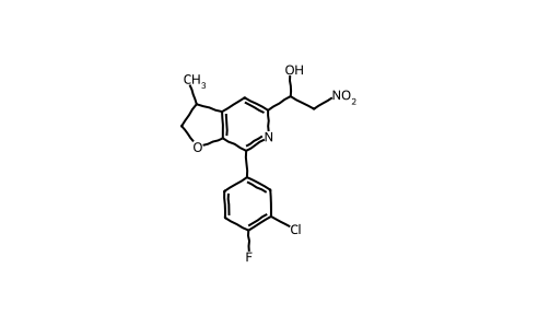 CC1COc2c1cc(C(O)C[N+](=O)[O-])nc2-c1ccc(F)c(Cl)c1